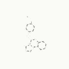 c1ccc2c(c1)nc(Nc1ccc3c(c1)OCO3)c1cncn12